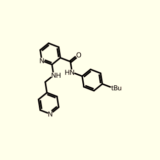 CC(C)(C)c1ccc(NC(=O)c2cccnc2NCc2ccncc2)cc1